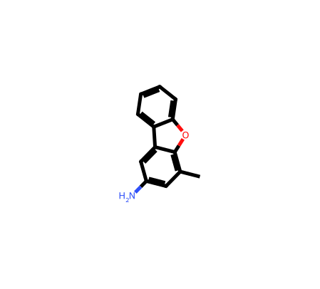 Cc1cc(N)cc2c1oc1ccccc12